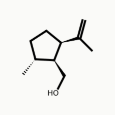 C=C(C)[C@@H]1CC[C@@H](C)[C@@H]1CO